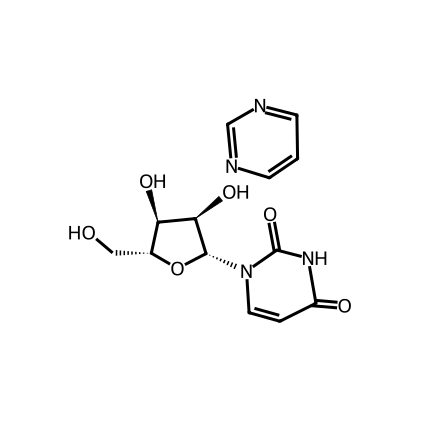 O=c1ccn([C@@H]2O[C@H](CO)[C@@H](O)[C@H]2O)c(=O)[nH]1.c1cncnc1